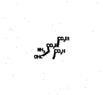 CC(=O)O.CCOC(=O)CC=O.CCOC(C)=O.N